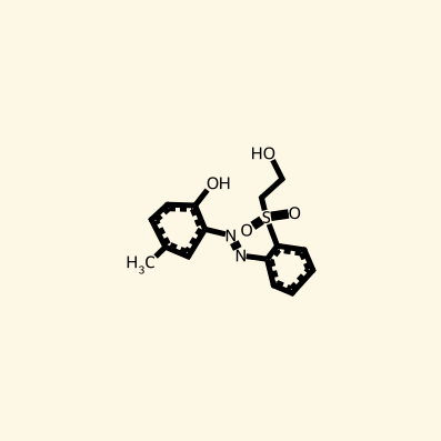 Cc1ccc(O)c(N=Nc2ccccc2S(=O)(=O)CCO)c1